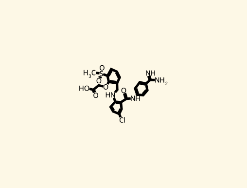 CS(=O)(=O)c1cccc(CNc2ccc(Cl)cc2C(=O)Nc2ccc(C(=N)N)cc2)c1OCC(=O)O